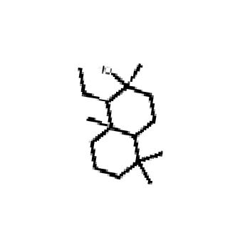 CC[C@@H]1[C@@]2(C)CCCC(C)(C)C2CC[C@@]1(C)O